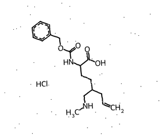 C=CCC(CCC(NC(=O)OCc1ccccc1)C(=O)O)CNC.Cl